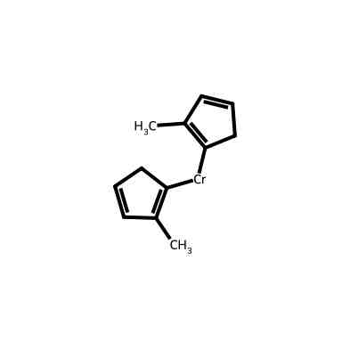 CC1=[C]([Cr][C]2=C(C)C=CC2)CC=C1